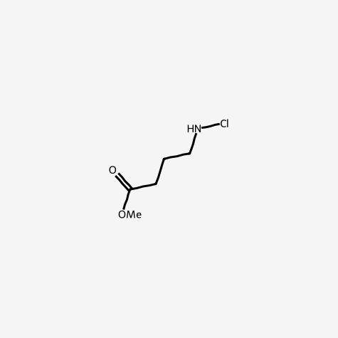 COC(=O)CCCNCl